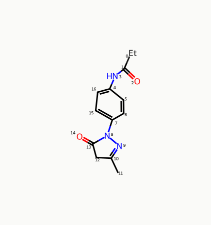 CCC(=O)Nc1ccc(N2N=C(C)CC2=O)cc1